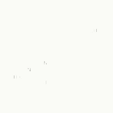 CCCCCC[n+]1ccn(C)c1Cl